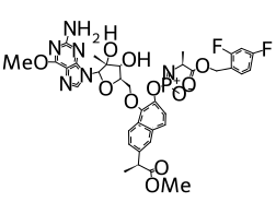 COC(=O)[C@@H](C)c1ccc2c(OC[C@H]3OC(n4cnc5c(OC)nc(N)nc54)[C@](C)(O)[C@@H]3O)c(O/[P+]([O-])=N/[C@@H](C)C(=O)OCc3ccc(F)cc3F)ccc2c1